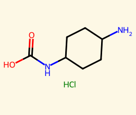 Cl.NC1CCC(NC(=O)O)CC1